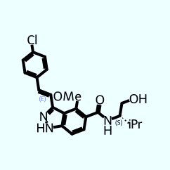 COc1c(C(=O)N[C@H](CO)C(C)C)ccc2[nH]nc(/C=C/c3ccc(Cl)cc3)c12